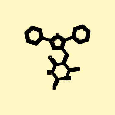 O=C1NC(=S)NC(=O)C1=Cc1cn(-c2ccccc2)nc1-c1ccccc1